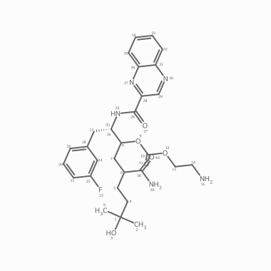 CC(C)(O)CCC(CC(OC(=O)OCCN)[C@H](Cc1cccc(F)c1)NC(=O)c1cnc2ccccc2n1)C(N)=O